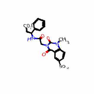 CCOC(=O)CC(NC(=O)Cn1c(=O)c2cc([N+](=O)[O-])ccc2n(C)c1=O)c1ccccc1